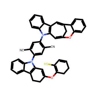 N#Cc1cc(-n2c3c(c4ccccc42)CCC(OC2=C(S)C=CCC2)=C3)c(C#N)cc1-n1c2c(c3ccccc31)C=C1CC(=C2)Oc2ccccc21